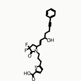 O=C(O)c1ccc(CCCN2C(=O)C(F)(F)CC2C=CC(O)CCC#Cc2ccccc2)s1